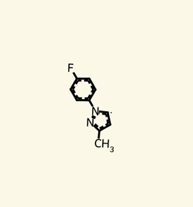 Cc1c[c]n(-c2ccc(F)cc2)n1